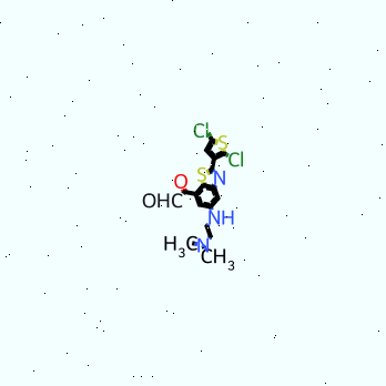 CN(C)CCNc1cc(C(=O)C=O)c2sc(-c3cc(Cl)sc3Cl)nc2c1